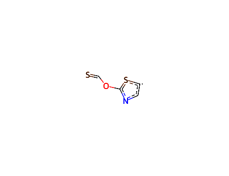 S=COc1nc[c]s1